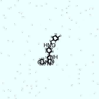 Cc1ccc(CC(=O)Nc2ccc(-c3cc4c(N5CCOCC5)ncnc4[nH]3)cc2)cc1